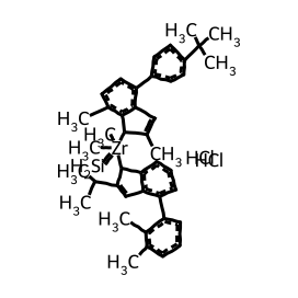 CC1=Cc2c(-c3ccc(C(C)(C)C)cc3)ccc(C)c2[CH]1[Zr]([CH3])([CH3])(=[SiH2])[CH]1C(C(C)C)=Cc2c(-c3cccc(C)c3C)cccc21.Cl.Cl